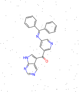 O=C(c1cncc(N=C(c2ccccc2)c2ccccc2)c1)c1c[nH]c2ncncc12